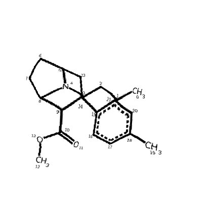 CCCCN1C2CCC1C(C(=O)OC)C(c1ccc(C)cc1)C2